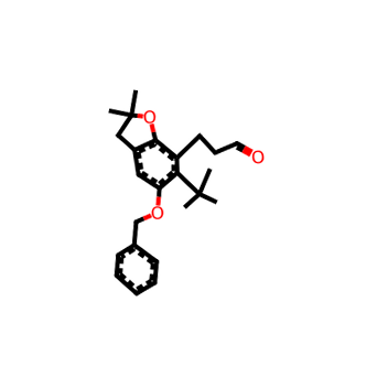 CC1(C)Cc2cc(OCc3ccccc3)c(C(C)(C)C)c(CCC=O)c2O1